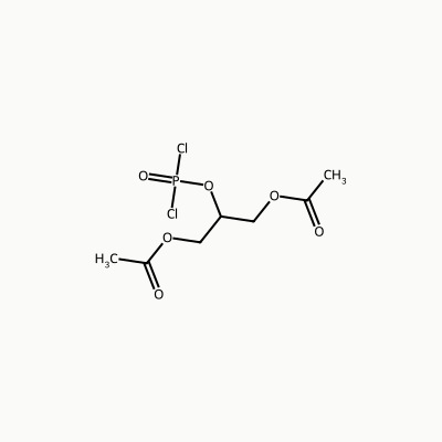 CC(=O)OCC(COC(C)=O)OP(=O)(Cl)Cl